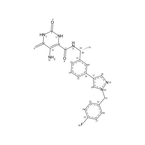 C=C1NC(=O)NC(C(=O)N[C@H](C)c2cccc(-c3cnn(Cc4ccc(F)cc4)c3)c2)=C1N